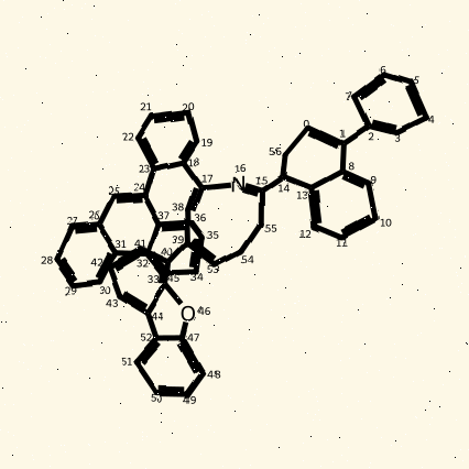 C1=C(c2ccccc2)c2ccccc2C(/C2=N/C(c3ccccc3-c3cc4ccccc4c4ccccc34)=C\C(c3cccc4c3oc3ccccc34)=C/CC2)C1